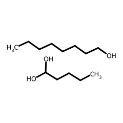 CCCCC(O)O.CCCCCCCCO